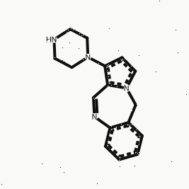 C1=Nc2ccccc2Cn2ccc(N3CCNCC3)c21